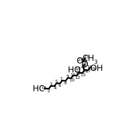 C#CCCCCCCCCCCC[C@H](O)CC(CCO)COC(C)=O